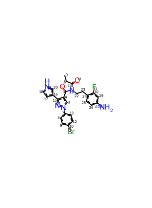 CC1OC(c2cn(-c3ccc(Br)cc3)nc2-c2cc[nH]c2)N(CCc2ccc(N)cc2F)C1=O